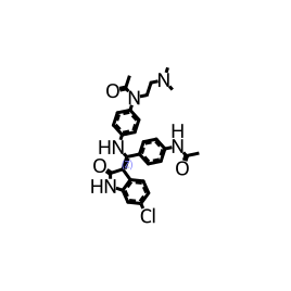 CC(=O)Nc1ccc(/C(Nc2ccc(N(CCN(C)C)C(C)=O)cc2)=C2/C(=O)Nc3cc(Cl)ccc32)cc1